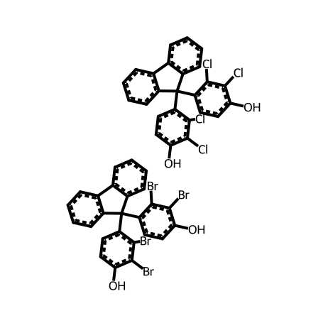 Oc1ccc(C2(c3ccc(O)c(Br)c3Br)c3ccccc3-c3ccccc32)c(Br)c1Br.Oc1ccc(C2(c3ccc(O)c(Cl)c3Cl)c3ccccc3-c3ccccc32)c(Cl)c1Cl